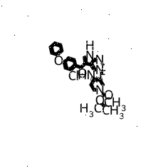 CC(C)(C)OC(=O)N1CC[C@@H](Nc2ncnc3[nH]cc(C(=O)c4ccc(Oc5ccccc5)cc4Cl)c23)[C@H](F)C1